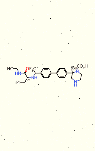 CC(C)C[C@H](NC(c1ccc(-c2ccc(C3(C(C)(C)C)CNCCN3C(=O)O)cc2)cc1)C(F)(F)F)C(=O)NCC#N